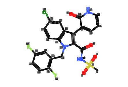 CS(=O)(=O)NC(=O)c1c(-c2ccc[nH]c2=O)c2cc(Cl)ccc2n1Cc1cc(F)ccc1F